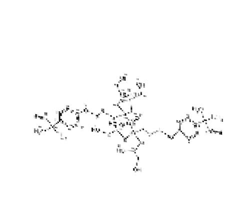 CCCCCC(C)(C)c1ccc(OCCCC(CC(O)CO)(CC(O)CO)S(=O)(=O)C(CCCOc2ccc(C(C)(C)CCCCC)cc2)(CC(O)CO)CC(O)CO)cc1